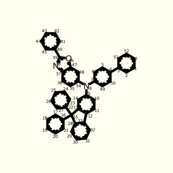 c1ccc(-c2ccc(N(c3ccc4c(c3)C(c3ccccc3)(c3ccccc3)c3ccccc3-4)c3ccc4nc(-c5ccccc5)oc4c3)cc2)cc1